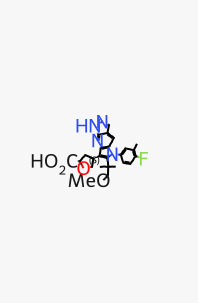 COCC(C)(C)c1c([C@H]2COC(C(=O)O)C2)c2nc3[nH]ncc3cc2n1-c1ccc(F)c(C)c1